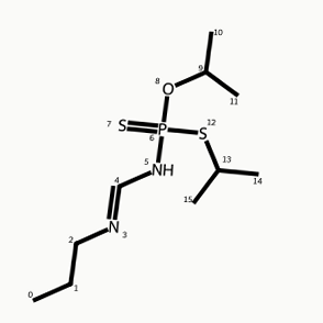 CCCN=CNP(=S)(OC(C)C)SC(C)C